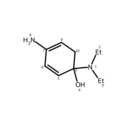 CCN(CC)C1(O)C=CC(N)=CC1